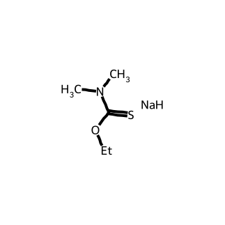 CCOC(=S)N(C)C.[NaH]